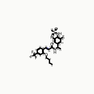 CCCCOc1cc(C(F)(F)F)ccc1/C=C/C(=O)NC(C)c1cc(F)c(NS(C)(=O)=O)c(F)c1